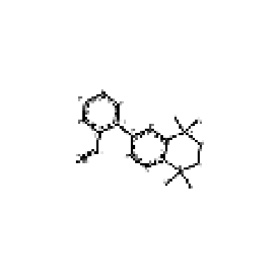 CC1(C)CCC(C)(C)c2cc(-c3ccccc3C=O)ccc21